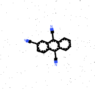 N#Cc1ccc2c(C#N)c3ccccc3c(C#N)c2c1